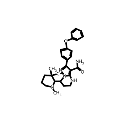 CN1CCCC(C)(C)C1C1CCNc2c(C(N)=O)c(-c3ccc(Oc4ccccc4)cc3)nn21